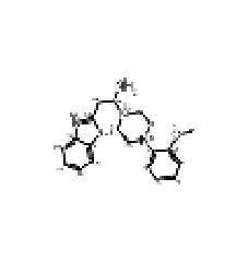 COc1ccccc1N1CCN(C(N)Cc2nc3ccccc3s2)CC1